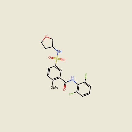 COc1ccc(S(=O)(=O)NC2CCOC2)cc1C(=O)Nc1c(F)cccc1F